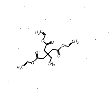 C=COC(=O)CC(CC)(CC(=O)OC=C)CC(=O)OC=C